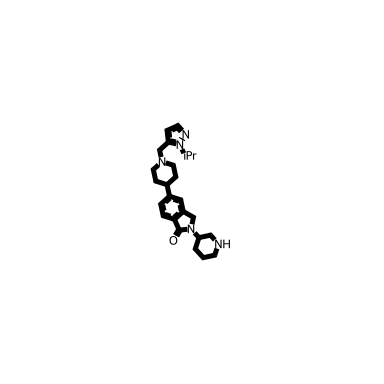 CC(C)n1nccc1CN1CCC(c2ccc3c(c2)CN(C2CCCNC2)C3=O)CC1